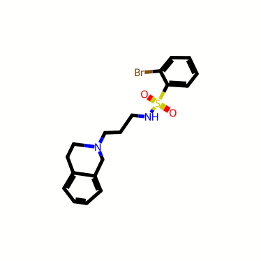 O=S(=O)(NCCCN1CCc2ccccc2C1)c1ccccc1Br